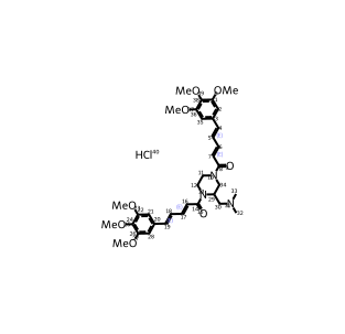 COc1cc(/C=C/C=C/C(=O)N2CCN(C(=O)/C=C/C=C/c3cc(OC)c(OC)c(OC)c3)C(CN(C)C)C2)cc(OC)c1OC.Cl